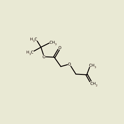 C=C(C)COCC(=O)OC(C)(C)C